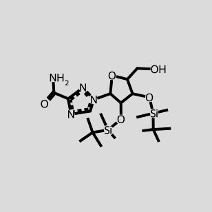 CC(C)(C)[Si](C)(C)OC1C(CO)OC(n2cnc(C(N)=O)n2)C1O[Si](C)(C)C(C)(C)C